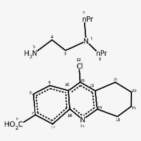 CCCN(CCC)CCN.O=C(O)c1ccc2c(Cl)c3c(nc2c1)CCCC3